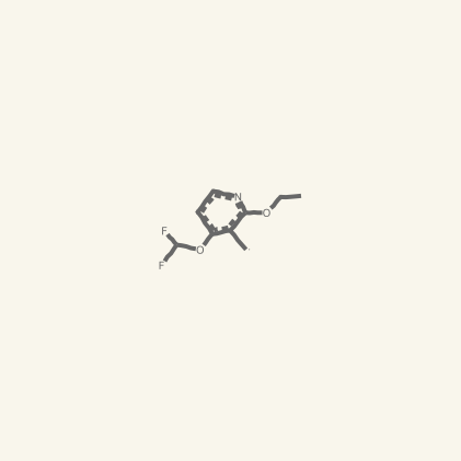 [CH2]c1c(OC(F)F)ccnc1OCC